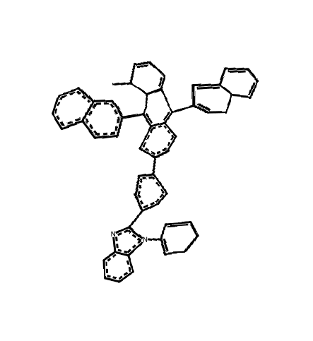 CC1C=CC=C2C(C3=CCC4C=CC=CC4=C3)=c3ccc(-c4ccc(-c5nc6ccccc6n5C5=CCCC=C5)cc4)cc3=C(c3ccc4ccccc4c3)C21